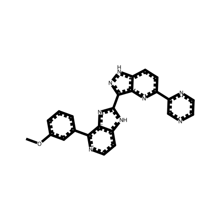 COc1cccc(-c2nccc3[nH]c(-c4n[nH]c5ccc(-c6cnccn6)nc45)nc23)c1